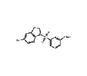 COc1cccc(S(=O)(=O)N2CCc3cc(Br)cnc32)c1